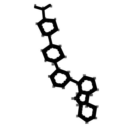 CC(C)c1ccc(-c2ccc(-c3cccc(-c4cccc5c4oc4ccccc45)c3)cc2)cc1